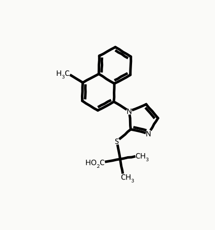 Cc1ccc(-n2ccnc2SC(C)(C)C(=O)O)c2ccccc12